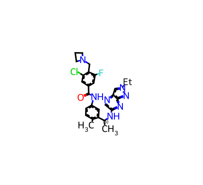 CCn1cc2ncc(N[C@@H](C)c3cc(NC(=O)c4cc(F)c(CN5CCC5)c(Cl)c4)ccc3C)nc2n1